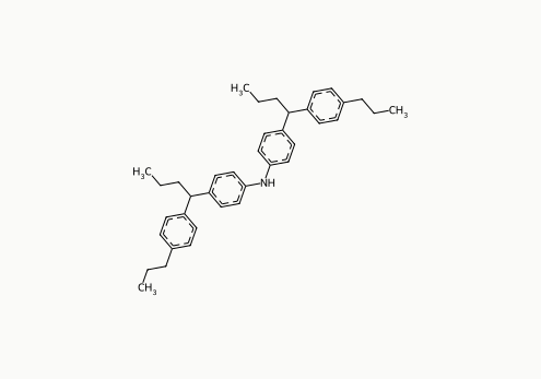 CCCc1ccc(C(CCC)c2ccc(Nc3ccc(C(CCC)c4ccc(CCC)cc4)cc3)cc2)cc1